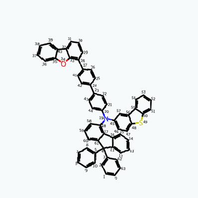 c1ccc(C2(c3ccccc3)c3ccccc3-c3c(N(c4ccc(-c5ccc(-c6cccc7c6oc6ccccc67)cc5)cc4)c4ccc5sc6ccccc6c5c4)cccc32)cc1